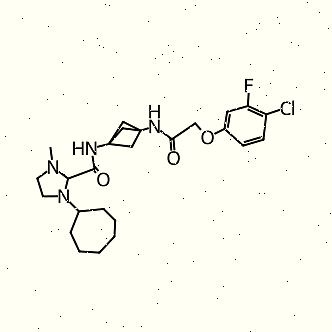 CN1CCN(C2CCCCCC2)C1C(=O)NC12CC(NC(=O)COc3ccc(Cl)c(F)c3)(C1)C2